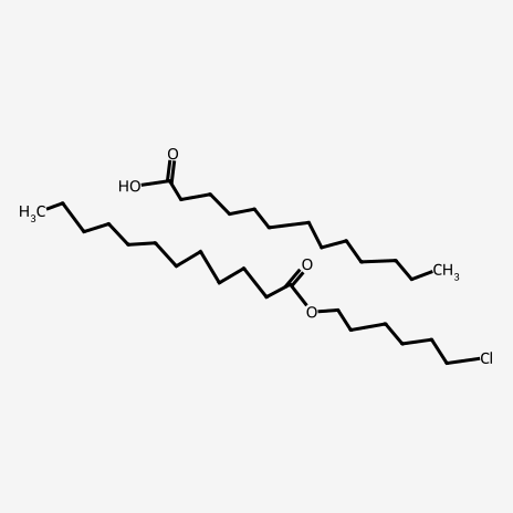 CCCCCCCCCCCC(=O)OCCCCCCCl.CCCCCCCCCCCCC(=O)O